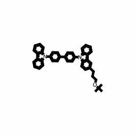 CC(C)(C)OCCCc1ccc2c(c1)c1ccccc1n2-c1ccc(-c2ccc(-n3c4ccccc4c4ccccc43)cc2)cc1